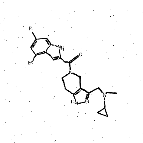 CCc1cc(F)cc2[nH]c(C(=O)N3CCc4[nH]nc(CN(C)C5CC5)c4C3)cc12